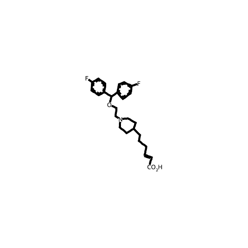 O=C(O)C=CCCCC1CCN(CCOC(c2ccc(F)cc2)c2ccc(F)cc2)CC1